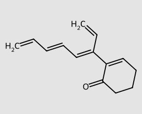 C=CC=CC=C(C=C)C1=CCCCC1=O